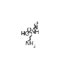 CCS/N=C/N[C@H](CCCCN)C(=O)O